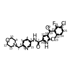 O=C(Nc1ccc(CN2CCOCC2)nc1)c1cc(C(=O)c2c(Cl)ccc(Cl)c2F)c[nH]1